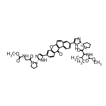 COC(=O)NCC(=O)N1CCC[C@H]1c1ncc(-c2ccc3c(=O)c4c(ccc5cc(-c6cnc([C@@H]7CCCN7C(=O)[C@@H](NC(=O)OC)C(C)C)[nH]6)ccc54)oc3c2)[nH]1